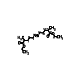 CCOC(=O)C(C)CCCN=NCCCC(C)C(=O)OCC